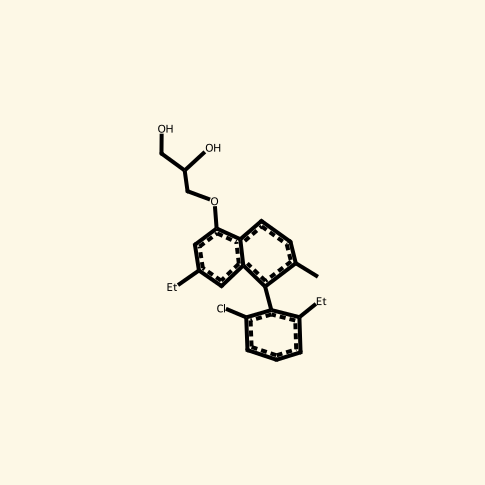 CCc1cc(OCC(O)CO)c2ccc(C)c(-c3c(Cl)cccc3CC)c2c1